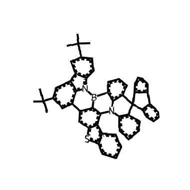 CC(C)(C)c1ccc2c(c1)c1cc(C(C)(C)C)cc3c1n2B1c2cccc4c2N(c2ccccc2C42c4ccccc4-c4ccccc42)c2c1c-3cc1sc3ccccc3c21